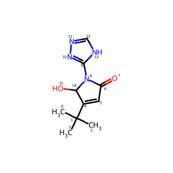 CC(C)(C)C1=CC(=O)N(c2nnc[nH]2)C1O